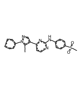 Cc1c(-c2ccnc(Nc3ccc(S(C)(=O)=O)cc3)n2)cnn1-c1ccccc1